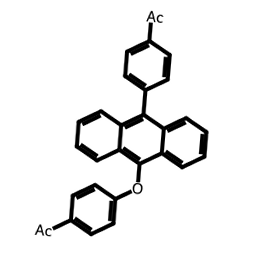 CC(=O)c1ccc(Oc2c3ccccc3c(-c3ccc(C(C)=O)cc3)c3ccccc23)cc1